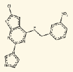 O=[N+]([O-])c1cccc(CNc2nc(-n3ccnc3)nc3sc(Cl)cc23)c1